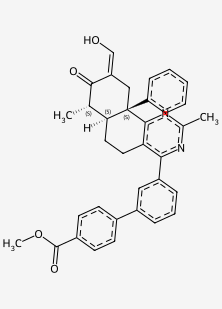 COC(=O)c1ccc(-c2cccc(-c3nc(C)nc4c3CC[C@H]3[C@H](C)C(=O)C(=CO)C[C@]43c3ccccc3)c2)cc1